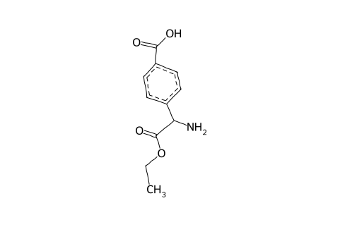 CCOC(=O)C(N)c1ccc(C(=O)O)cc1